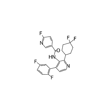 O=C(Nc1c(-c2cc(F)ccc2F)ccnc1C1CCC(F)(F)CC1)c1ccc(F)nc1